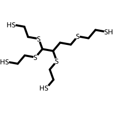 SCCSCCC(SCCS)C(SCCS)SCCS